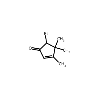 CCC1C(=O)C=C(C)C1(C)C